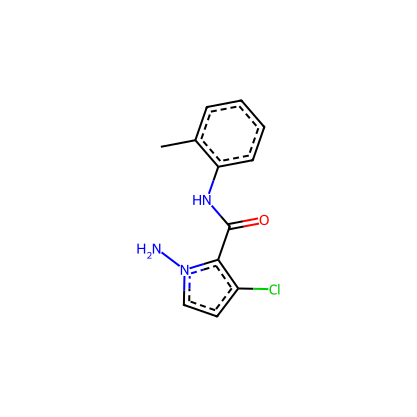 Cc1ccccc1NC(=O)c1c(Cl)ccn1N